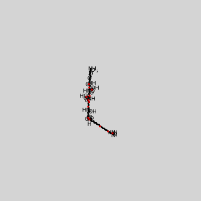 NC(=O)COCCOCCNC(=O)CC[C@H](NC(=O)CC[C@H](NC(=O)CCCCCNC(O)CCCS(=O)(=O)NC(=O)CCCCCCCCCCCCCCCc1nnn[nH]1)C(=O)O)C(=O)O